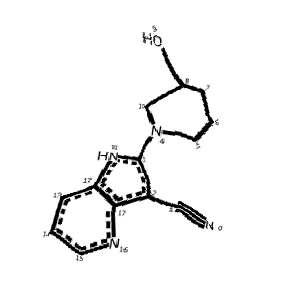 N#Cc1c(N2CCCC(O)C2)[nH]c2cccnc12